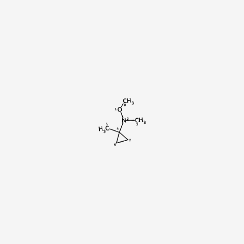 CON(C)C1(C)CC1